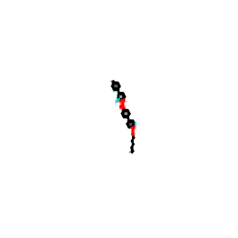 CCCCCCCOc1ccc(-c2ccc(C(=O)Oc3ccc(-c4ccc(C)cc4)c(F)c3F)cc2)cc1F